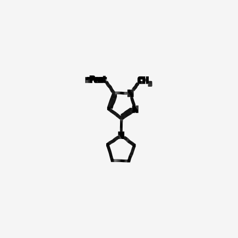 CCCCCc1cc(N2CCCC2)nn1C